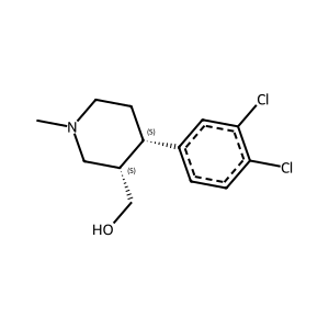 CN1CC[C@H](c2ccc(Cl)c(Cl)c2)[C@H](CO)C1